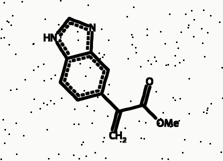 C=C(C(=O)OC)c1ccc2[nH]cnc2c1